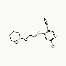 N#Cc1cnc(Cl)cc1OCCOC1CCCCO1